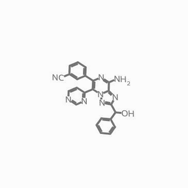 N#Cc1cccc(-c2nc(N)c3nc(C(O)c4ccccc4)nn3c2-c2ccncn2)c1